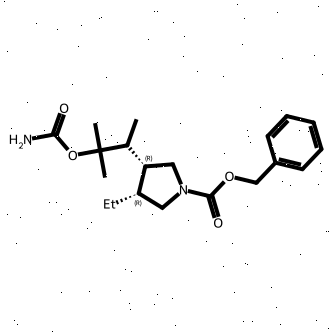 CC[C@H]1CN(C(=O)OCc2ccccc2)C[C@H]1C(C)C(C)(C)OC(N)=O